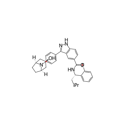 CC(C)C[C@H](NC(=O)c1ccc2[nH]nc(-c3ccc(N4[C@@H]5CC[C@H]4C[C@@H](O)C5)cc3)c2c1)c1ccccc1F